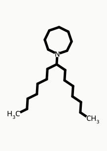 CCCCCCCC(CCCCCCC)N1CCCCCCC1